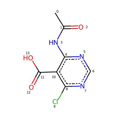 CC(=O)Nc1ncnc(Cl)c1C(=O)O